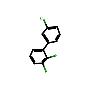 Fc1cccc(-c2[c]ccc(Cl)c2)c1F